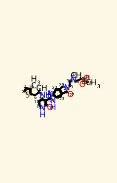 Cc1ccsc1CC(C)Nc1cc[nH]c(=O)c1-c1nc2cc3c(cc2[nH]1)C(=O)N(CCN(C)CCS(C)(=O)=O)C3